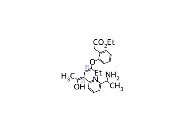 CCOC(=O)Cc1ccccc1O/C(=C/C(=C(\C)O)c1cccc(C(C)N)n1)CC